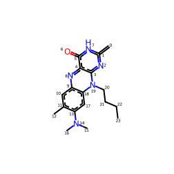 C=c1nc2c(c(=O)[nH]1)=Nc1cc(C)c(N(C)C)cc1N2CCCC